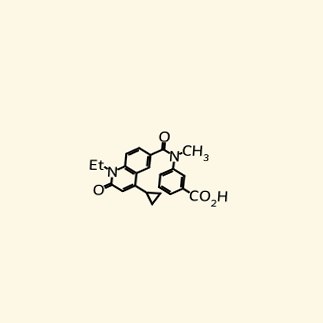 CCn1c(=O)cc(C2CC2)c2cc(C(=O)N(C)c3cccc(C(=O)O)c3)ccc21